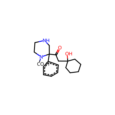 O=C(O)N1CCNCC1(C(=O)CC1(O)CCCCC1)c1ccccc1